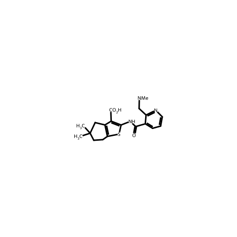 CNCc1ncccc1C(=O)Nc1sc2c(c1C(=O)O)CC(C)(C)CC2